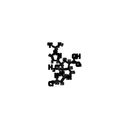 CC1(c2ccn(C(F)F)n2)CC(C(=O)O)c2cnc3cc(Cl)nn3c21